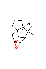 CC1(C)C2CC3(CCC[C@H]31)CC1OC12O